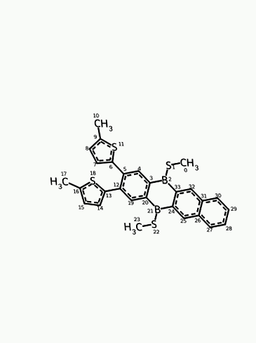 CSB1c2cc(-c3ccc(C)s3)c(-c3ccc(C)s3)cc2B(SC)c2cc3ccccc3cc21